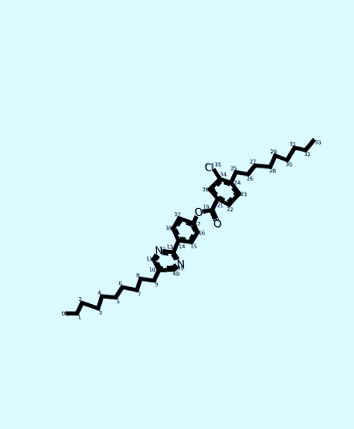 CCCCCCCCCCc1cnc(-c2ccc(OC(=O)c3ccc(CCCCCCCCC)c(Cl)c3)cc2)nc1